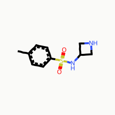 Cc1ccc(S(=O)(=O)NC2CNC2)cc1